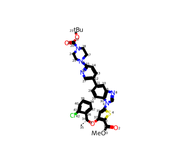 COC(=O)c1sc(-n2cnc3cc(-c4ccc(N5CCN(C(=O)OC(C)(C)C)CC5)nc4)ccc32)cc1O[C@H](C)c1ccccc1Cl